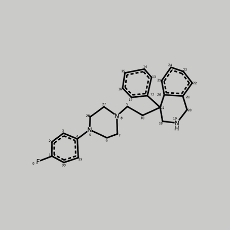 Fc1ccc(N2CCN(CCC3(c4ccccc4)CNCc4ccccc43)CC2)cc1